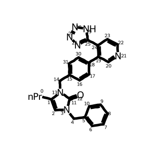 CCCc1cn(Cc2ccccc2)c(=O)n1Cc1ccc(-c2cnccc2-c2nnn[nH]2)cc1